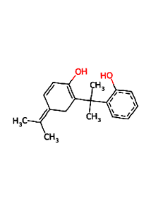 CC(C)=C1C=CC(O)=C(C(C)(C)c2ccccc2O)C1